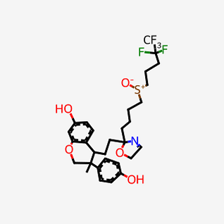 CC1(c2ccc(O)cc2)COc2cc(O)ccc2C1CCC1(CCCC[S+]([O-])CCCC(F)(F)C(F)(F)F)N=CCO1